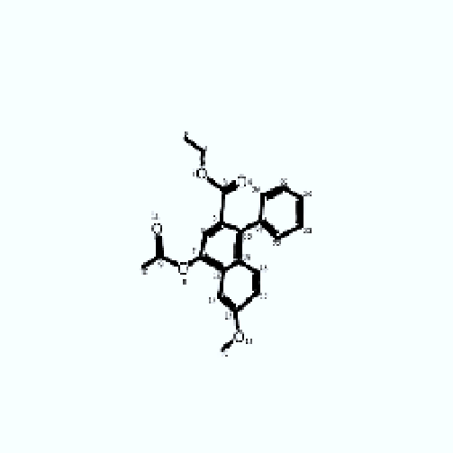 CCOC(=O)c1cc(OC(C)=O)c2cc(OC)ccc2c1-c1ccccc1